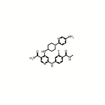 CNC(=O)c1ccc(Nc2cc(NC3CCN(c4ccc(N)cn4)CC3)c(C(N)=O)cn2)cc1F